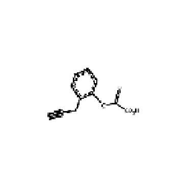 C#CCc1ccccc1OC(=O)C(=O)O